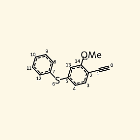 C#Cc1ccc(Sc2ccccc2)cc1OC